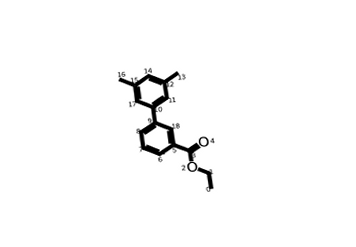 CCOC(=O)c1[c]ccc(-c2cc(C)cc(C)c2)c1